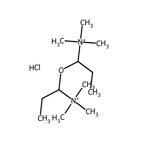 CCC(OC(CC)[N+](C)(C)C)[N+](C)(C)C.Cl